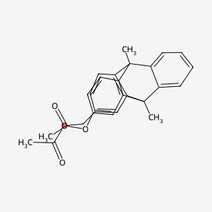 CC(=O)OCc1ccc2c(c1)C1(C)c3ccccc3C2(C)c2ccc(OC(C)=O)cc21